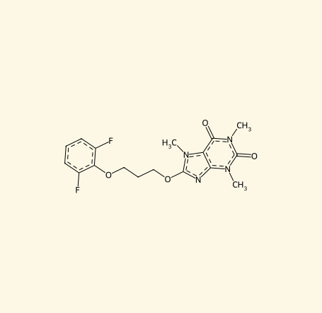 Cn1c(=O)c2c(nc(OCCCOc3c(F)cccc3F)n2C)n(C)c1=O